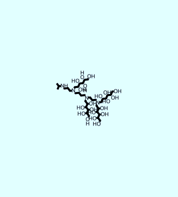 CC(C)NCCCN(CCCCN(CCCN(CC(O)C(O)C(O)C(O)CO)CC(O)C(O)C(O)C(O)CO)CC(O)C(O)C(O)C(O)CO)CC(O)C(O)C(O)C(O)CO